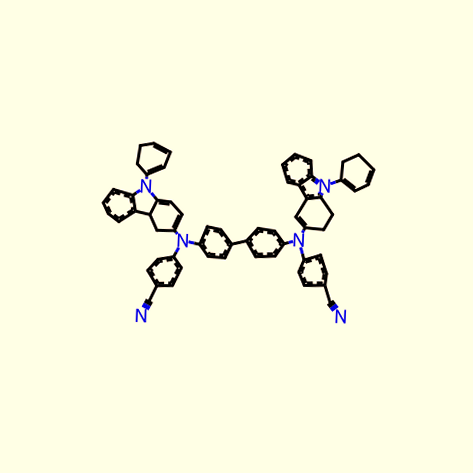 N#Cc1ccc(N(C2=Cc3c(n(C4=CC=CCC4)c4ccccc34)CC2)c2ccc(-c3ccc(N(C4=CC=C5C(C4)c4ccccc4N5C4=CC=CCC4)c4ccc(C#N)cc4)cc3)cc2)cc1